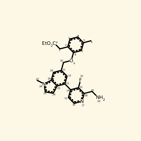 CCOC(=O)Cc1ccc(C)cc1OCc1cc(-c2ccnc(CN)c2F)c2ccn(C)c2c1